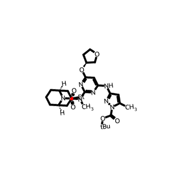 CCS(=O)(=O)N1[C@@H]2CCC[C@H]1CC(N(C)c1nc(Nc3cc(C)n(C(=O)OC(C)(C)C)n3)cc(O[C@H]3CCOC3)n1)C2